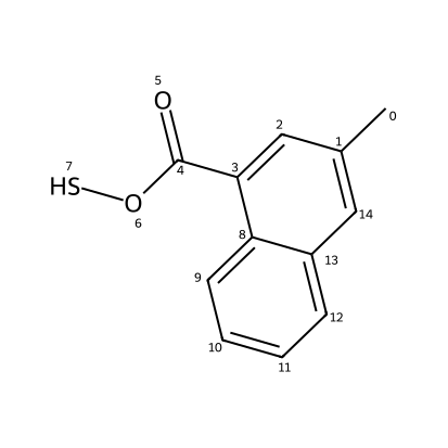 Cc1cc(C(=O)OS)c2ccccc2c1